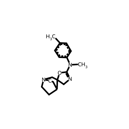 Cc1ccc(N(C)C2=NCC3(CN4CCC3CC4)O2)cc1